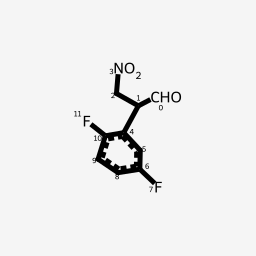 O=CC(C[N+](=O)[O-])c1cc(F)ccc1F